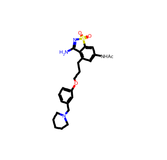 CC(=O)Nc1cc(CCCOc2cccc(CN3CCCCC3)c2)c2c(c1)S(=O)(=O)N=C2N